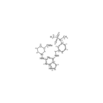 COC1CN(Nc2nc(NCc3cccc(N(C)S(C)(=O)=O)c3)c3cc[nH]c3n2)CCO1